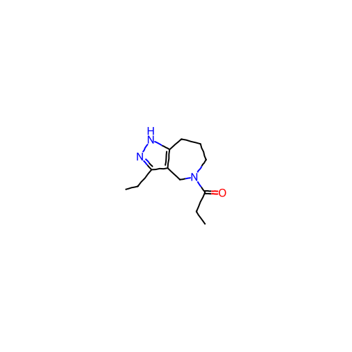 CCC(=O)N1CCCc2[nH]nc(CC)c2C1